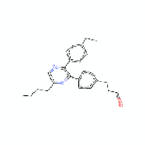 CCCCc1cnc(-c2ccc(CC)cc2)c(-c2ccc(CCC=O)cc2)n1